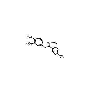 Oc1ccc2c(c1)CCNC2Cc1ccc(O)c(O)c1